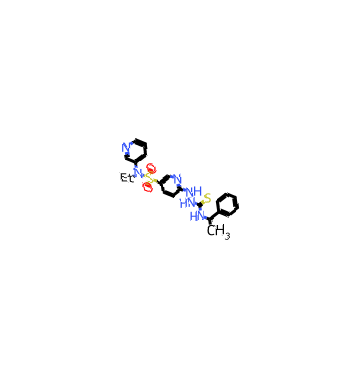 CCN(c1cccnc1)S(=O)(=O)c1ccc(NNC(=S)NC(C)c2ccccc2)nc1